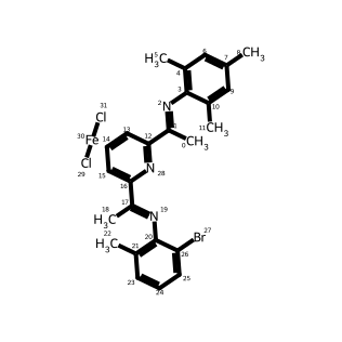 CC(=Nc1c(C)cc(C)cc1C)c1cccc(C(C)=Nc2c(C)cccc2Br)n1.[Cl][Fe][Cl]